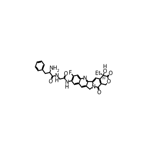 CC[C@@]1(O)C(=O)OCc2c1cc1n(c2=O)Cc2cc3cc(NC(=O)CNC(=O)C(N)Cc4ccccc4)c(F)cc3nc2-1